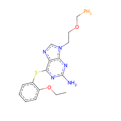 CCOc1ccccc1Sc1nc(N)nc2c1ncn2CCOCP